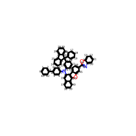 c1ccc(-c2ccc(N(c3cccc(C4(c5ccccc5)c5ccccc5-c5ccccc54)c3)c3cc4ccccc4c4oc5cc(-c6nc7ccccc7o6)ccc5c34)cc2)cc1